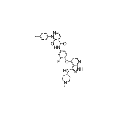 CN1CCC(Nc2n[nH]c3nccc(Oc4ccc(NC(=O)c5ccnn(-c6ccc(F)cc6)c5=O)cc4F)c23)CC1